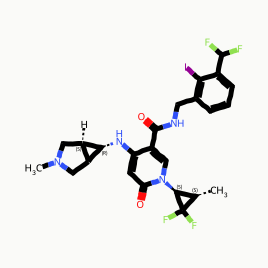 C[C@H]1[C@H](n2cc(C(=O)NCc3cccc(C(F)F)c3I)c(N[C@@H]3C4CN(C)C[C@H]43)cc2=O)C1(F)F